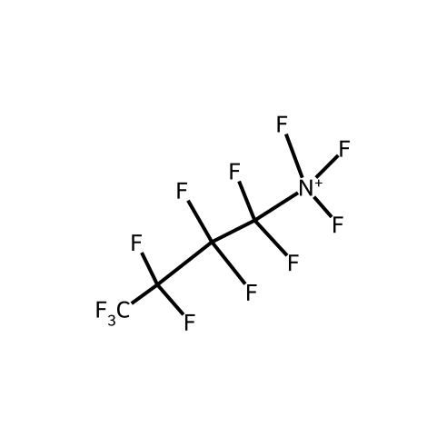 FC(F)(F)C(F)(F)C(F)(F)C(F)(F)[N+](F)(F)F